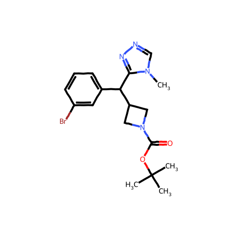 Cn1cnnc1C(c1cccc(Br)c1)C1CN(C(=O)OC(C)(C)C)C1